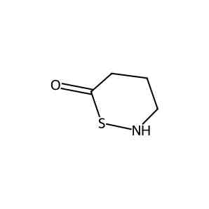 O=C1CCCNS1